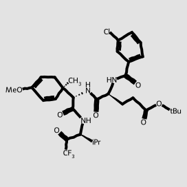 COC1=CC[C@@](C)([C@H](NC(=O)[C@H](CCC(=O)OC(C)(C)C)NC(=O)c2cccc(Cl)c2)C(=O)N[C@H](C(=O)C(F)(F)F)C(C)C)C=C1